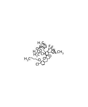 CCCCCOc1cc(CC2COc3c(cc(Cn4ccn(C)/c4=N/C(=O)OC(C)(C)C)cc3-c3cn(CC)nc3C(F)(F)F)C2=O)ccc1Cl